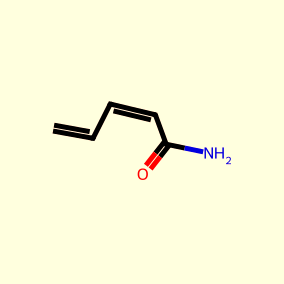 C=C/C=C\C(N)=O